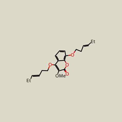 CCC=CCCOc1c(OC)c(=O)oc2c(OCCC=CCC)cccc12